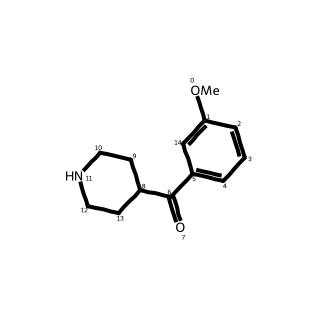 COc1cccc(C(=O)C2CCNCC2)c1